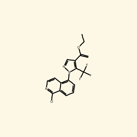 C=C(OCC)c1cnn(-c2cccc3c(Cl)nccc23)c1C(F)(F)F